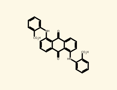 O=C(O)c1ccccc1Nc1cccc2c1C(=O)c1cccc(Nc3ccccc3C(=O)O)c1C2=O